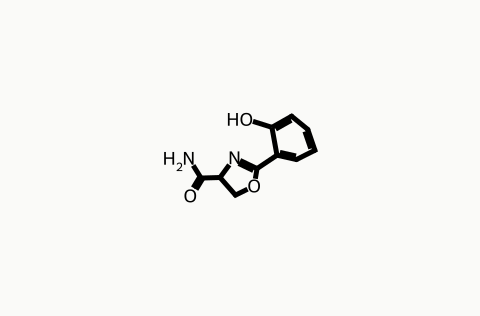 NC(=O)C1COC(c2ccccc2O)=N1